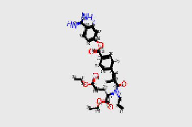 C=CCN(C(=O)/C(C)=C/c1ccc(C(=O)Oc2ccc(C(=N)N)cc2)cc1)[C@H](CCC(=O)OCC)C(=O)OCC